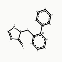 O=C1N=COC1Cc1ccccc1-c1ccccc1